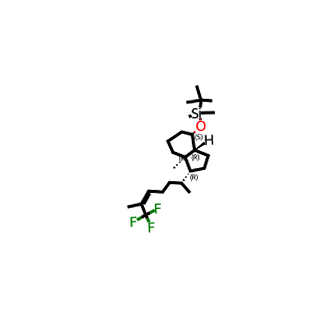 CC(=CCCC(C)[C@H]1CC[C@H]2[C@@H](O[Si](C)(C)C(C)(C)C)CCC[C@]12C)C(F)(F)F